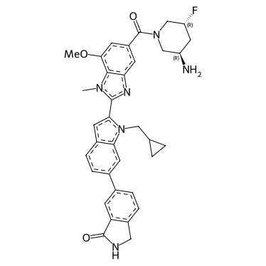 COc1cc(C(=O)N2C[C@H](N)C[C@@H](F)C2)cc2nc(-c3cc4ccc(-c5ccc6c(c5)C(=O)NC6)cc4n3CC3CC3)n(C)c12